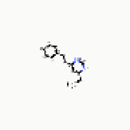 C=Cc1cc(CCc2ccccc2)ncn1